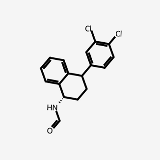 O=CN[C@H]1CCC(c2ccc(Cl)c(Cl)c2)c2ccccc21